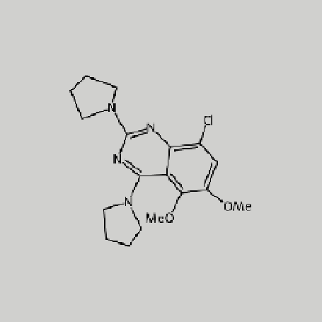 COc1cc(Cl)c2nc(N3CCCC3)nc(N3CCCC3)c2c1OC